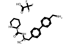 N#C[C@H](Cc1ccc(-c2ccc(CN)cc2)cc1)NC(=O)[C@@H]1CCCCN1.O=C(O)C(F)(F)F